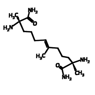 C/C(=C\CCC[C@](C)(N)C(N)=O)CCC[C@](C)(N)C(N)=O